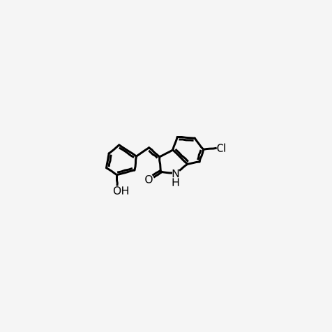 O=C1Nc2cc(Cl)ccc2C1=Cc1cccc(O)c1